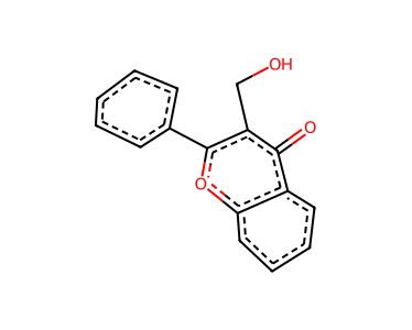 O=c1c(CO)c(-c2ccccc2)oc2ccccc12